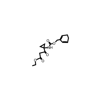 CCOC(=O)CC(=O)C1(NC(=O)OCC2=CCCC=C2)CC1